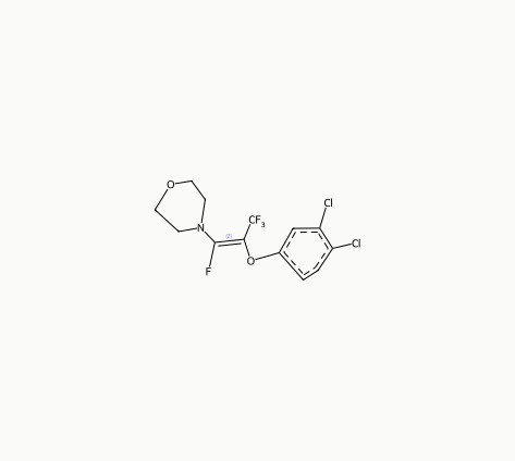 F/C(=C(\Oc1ccc(Cl)c(Cl)c1)C(F)(F)F)N1CCOCC1